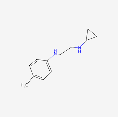 Cc1ccc(NCCNC2CC2)cc1